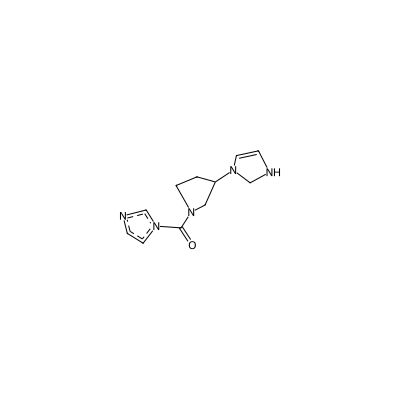 O=C(N1CCC(N2C=CNC2)C1)n1ccnc1